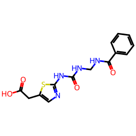 O=C(O)Cc1cnc(NC(=O)NCNC(=O)c2ccccc2)s1